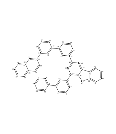 c1ccc(-c2cccc(-c3nc(-c4cccc(-c5cccc(-c6ccc7ccccc7c6)c5)c4)nc4c3oc3ccccc34)c2)cc1